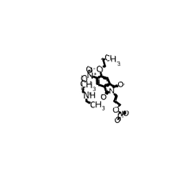 CCCOc1cc2c(cc1[N+](=O)[O-])C(=O)N(CCCO[N+](=O)[O-])C2=O.CCNCC